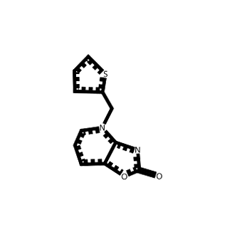 O=c1nc2n(Cc3cccs3)cccc-2o1